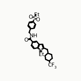 CCn1c(CC2CCC(C(F)(F)F)CC2)cc2cc(C(=O)NCc3ccc(S(=O)(=O)CC)cc3)ccc21